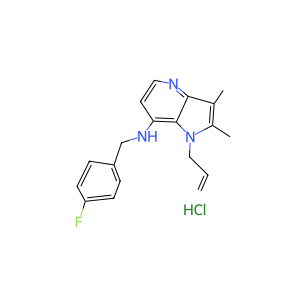 C=CCn1c(C)c(C)c2nccc(NCc3ccc(F)cc3)c21.Cl